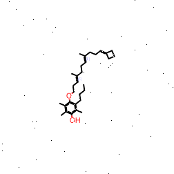 CCCCc1c(C)c(O)c(C)c(C)c1OCC/C=C(\C)CC/C=C(\C)CCC=C1CCC1